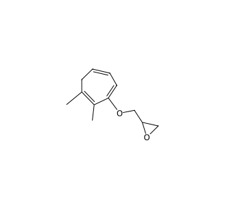 CC1=C(C)C(OCC2CO2)=CC=CC1